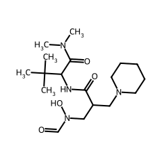 CN(C)C(=O)C(NC(=O)C(CN(O)C=O)CN1CCCCC1)C(C)(C)C